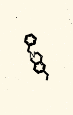 CCc1ccc2c(c1)CCN(Cc1ccccc1)C2